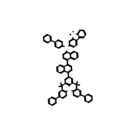 CC1(C)c2cc(-c3ccccc3)ccc2N2c3ccc(-c4ccccc4)cc3C(C)(C)c3cc(-c4ccc(-c5ccc(N(c6ccc(-c7ccccc7)cc6)c6ccc7c(c6)[Si](C)(C)c6ccccc6-7)c6ccccc56)c5ccccc45)cc1c32